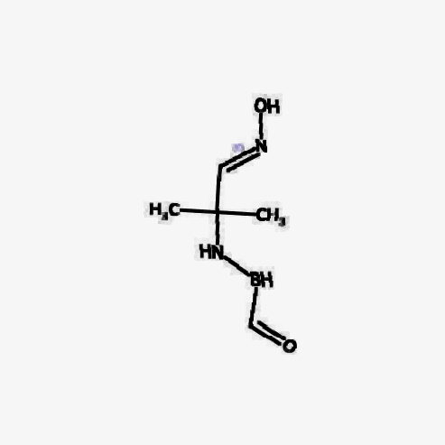 CC(C)(/C=N/O)NBC=O